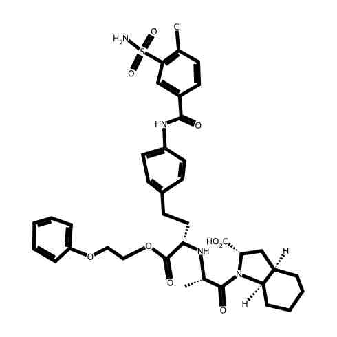 C[C@H](N[C@@H](CCc1ccc(NC(=O)c2ccc(Cl)c(S(N)(=O)=O)c2)cc1)C(=O)OCCOc1ccccc1)C(=O)N1[C@@H]2CCCC[C@@H]2C[C@H]1C(=O)O